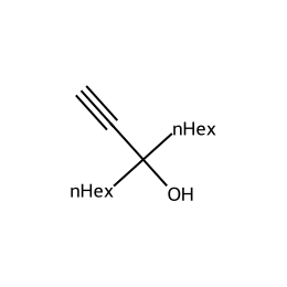 C#CC(O)(CCCCCC)CCCCCC